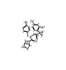 O=C([C@H](Cc1ccc(Br)cc1)NC(=O)C1(c2ccc(Cl)cc2Cl)CC1)N1CC2CC1CN2